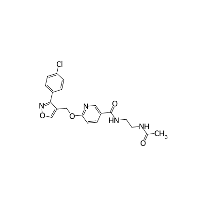 CC(=O)NCCNC(=O)c1ccc(OCc2conc2-c2ccc(Cl)cc2)nc1